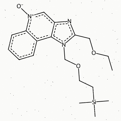 CCOCc1nc2c[n+]([O-])c3ccccc3c2n1COCC[Si](C)(C)C